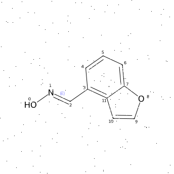 O/N=C/c1cccc2occc12